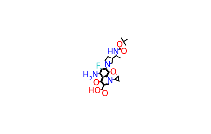 COc1c(N2CC[C@@H]([C@H](C)NC(=O)OC(C)(C)C)C2)c(F)c(N)c2c(=O)c(C(=O)O)cn(C3CC3)c12